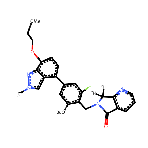 [2H]C1([2H])c2ncccc2C(=O)N1Cc1c(F)cc(-c2ccc(OCCOC)c3nn(C)cc23)cc1OCC(C)C